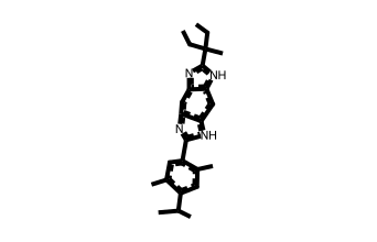 CCC(C)(CC)c1nc2cc3nc(-c4cc(C)c(C(C)C)cc4C)[nH]c3cc2[nH]1